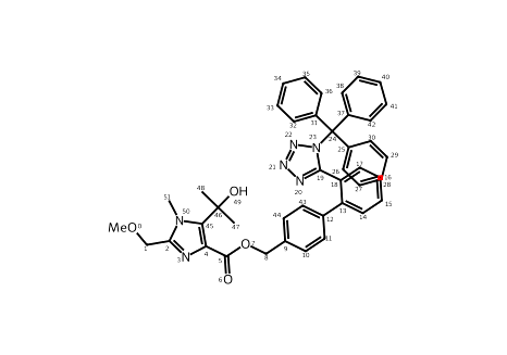 COCc1nc(C(=O)OCc2ccc(-c3ccccc3-c3nnnn3C(c3ccccc3)(c3ccccc3)c3ccccc3)cc2)c(C(C)(C)O)n1C